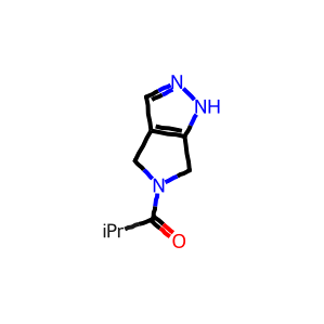 CC(C)C(=O)N1Cc2cn[nH]c2C1